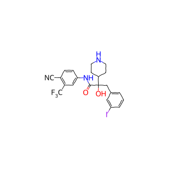 N#Cc1ccc(NC(=O)C(O)(Cc2cccc(I)c2)C2CCNCC2)cc1C(F)(F)F